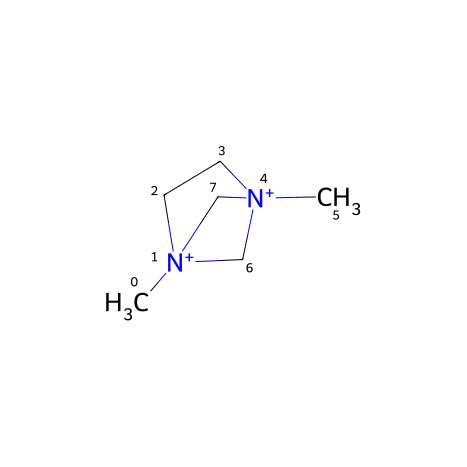 C[N+]12CC[N+](C)(C1)C2